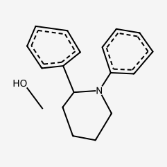 CO.c1ccc(C2CCCCN2c2ccccc2)cc1